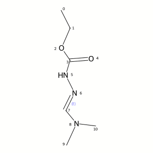 CCOC(=O)N/N=C/N(C)C